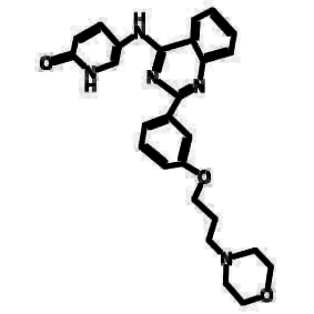 O=c1ccc(Nc2nc(-c3cccc(OCCCN4CCOCC4)c3)nc3ccccc23)c[nH]1